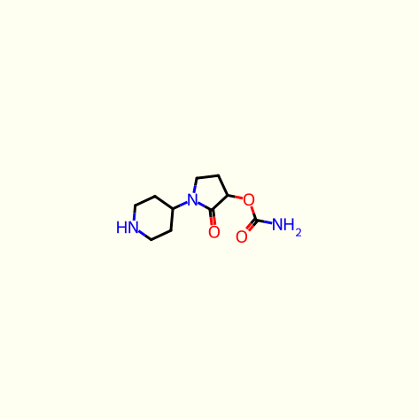 NC(=O)OC1CCN(C2CCNCC2)C1=O